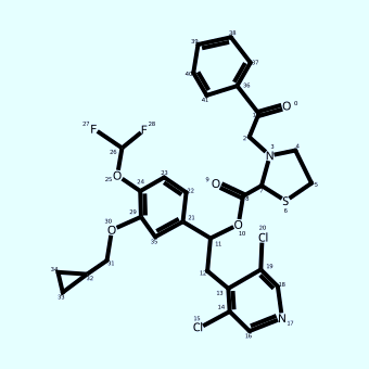 O=C(CN1CCSC1C(=O)OC(Cc1c(Cl)cncc1Cl)c1ccc(OC(F)F)c(OCC2CC2)c1)c1ccccc1